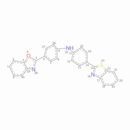 c1ccc2oc(-c3ccc(Nc4ccc(-c5nc6ccccc6s5)cc4)cc3)nc2c1